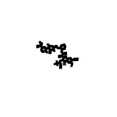 CCc1cc(N/C(=C\C(=N)C(C)(C)C)NC(=O)NCc2ccccc2COc2cc(C)n(-c3cc(C(=O)OC)ccc3C)c(=O)c2C)ccc1O